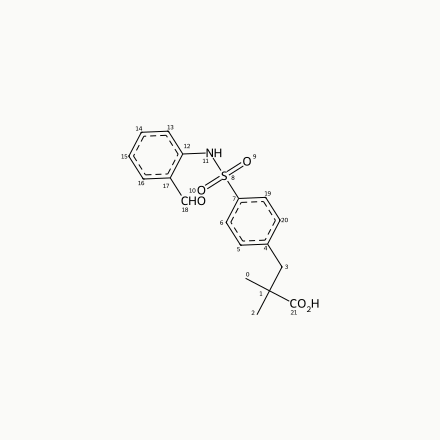 CC(C)(Cc1ccc(S(=O)(=O)Nc2ccccc2C=O)cc1)C(=O)O